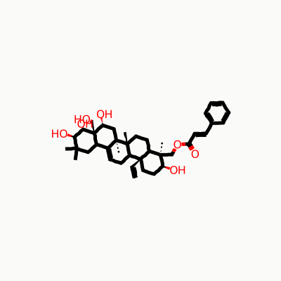 C=C[C@]12CC[C@H](O)[C@](C)(COC(=O)/C=C/c3ccccc3)C1CC[C@]1(C)C2CC=C2C3CC(C)(C)[C@@H](O)[C@H](O)[C@]3(CO)[C@H](O)C[C@]21C